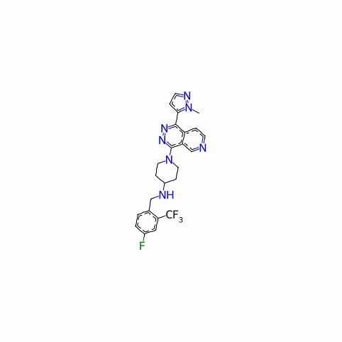 Cn1nccc1-c1nnc(N2CCC(NCc3ccc(F)cc3C(F)(F)F)CC2)c2cnccc12